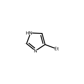 CCc1c[nH][c]n1